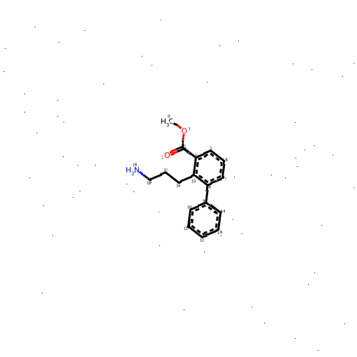 COC(=O)c1cccc(-c2ccccc2)c1CCCN